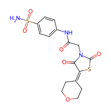 NS(=O)(=O)c1ccc(NC(=O)CN2C(=O)SC(=C3CCOCC3)C2=O)cc1